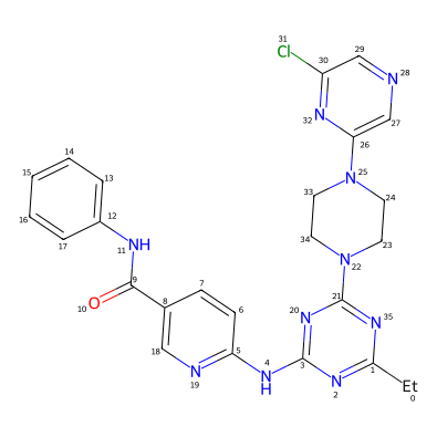 CCc1nc(Nc2ccc(C(=O)Nc3ccccc3)cn2)nc(N2CCN(c3cncc(Cl)n3)CC2)n1